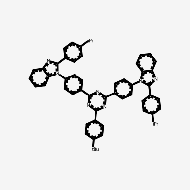 CC(C)c1ccc(-c2nc3ccccc3n2-c2ccc(-c3nc(-c4ccc(-n5c(-c6ccc(C(C)C)cc6)nc6ccccc65)cc4)nc(-c4ccc(C(C)(C)C)cc4)n3)cc2)cc1